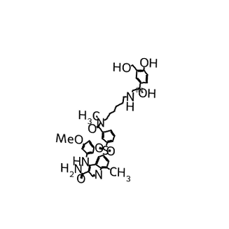 COc1cccc(Nc2c(C(N)=O)cnc3c(C)cc(S(=O)(=O)c4cccc(C(=O)N(C)CCCCCCNC[C@H](O)c5ccc(O)c(CO)c5)c4)cc23)c1